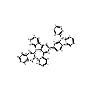 c1ccc(-n2c3ccccc3c3ccc(-c4cc5c6c(c4)c4ccccc4n6-c4nc6ccccc6nc4-c4ncccc4-5)cc32)cc1